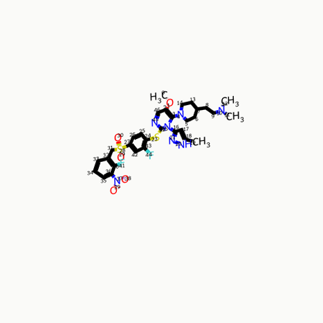 COC1=C(N2CCC(CCN(C)C)CC2)N(c2cc(C)[nH]n2)C(Sc2ccc(S(=O)(=O)Cc3cccc([N+](=O)[O-])c3F)cc2F)N=C1